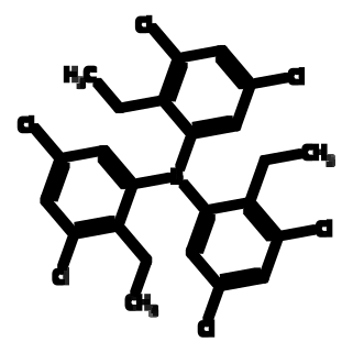 CCc1c(Cl)cc(Cl)cc1B(c1cc(Cl)cc(Cl)c1CC)c1cc(Cl)cc(Cl)c1CC